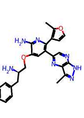 Cc1occc1-c1nc(N)c(OC[C@H](N)Cc2ccccc2)cc1-c1cnc2[nH]nc(C)c2n1